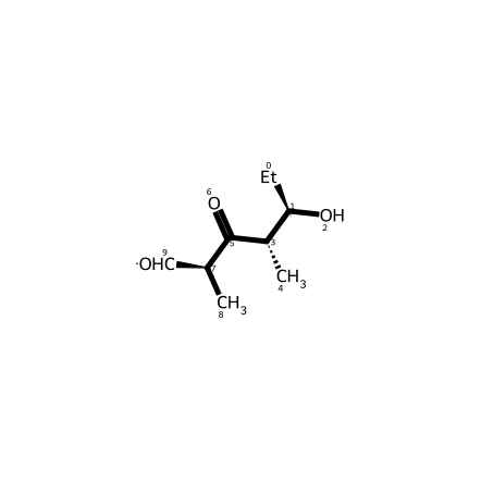 CC[C@@H](O)[C@H](C)C(=O)[C@@H](C)[C]=O